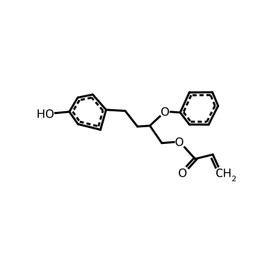 C=CC(=O)OCC(CCc1ccc(O)cc1)Oc1ccccc1